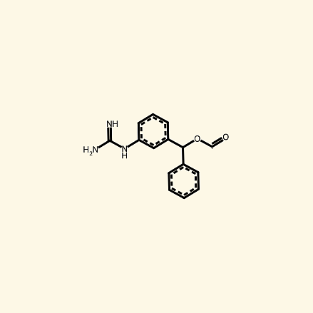 N=C(N)Nc1cccc(C(O[C]=O)c2ccccc2)c1